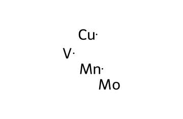 [Cu].[Mn].[Mo].[V]